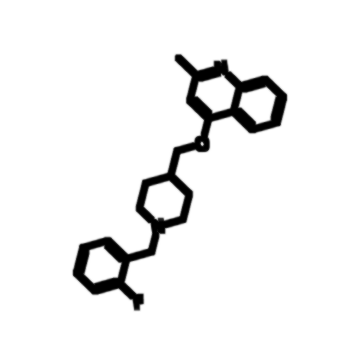 Cc1cc(OCC2CCN(Cc3ccccc3F)CC2)c2ccccc2n1